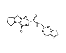 O=C(NCc1ccc2occc2c1)c1nc2sc3c(c2c(=O)[nH]1)CCC3